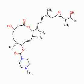 C=C1CCC(O)CC(=O)OC(/C(C)=C/C=C/C(C)CC2OC2C(C)C(O)CC)C(C)/C=C/C1OC(=O)N1CCN(C)CC1